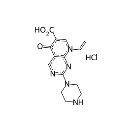 C=Cn1cc(C(=O)O)c(=O)c2cnc(N3CCNCC3)nc21.Cl